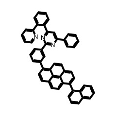 c1ccc(-c2cc(-c3ccccc3-c3ccccn3)nc(-c3cccc(-c4ccc5ccc6c(-c7cccc8ccccc78)ccc7ccc4c5c76)c3)n2)cc1